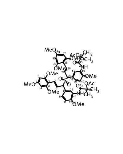 COc1cc(OC)c(C=CC(c2ccc(OC)c(NC(=O)C(C)(C)OC(C)=O)c2)S(=O)(=O)C(C=Cc2c(OC)cc(OC)cc2OC)c2ccc(OC)c(NC(=O)C(C)(C)OC(C)=O)c2)c(OC)c1